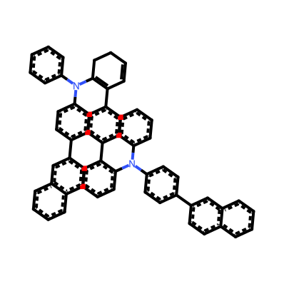 C1=CC(c2ccc(-c3ccccc3N(c3ccccc3)c3ccc(-c4ccc5ccccc5c4)cc3)cc2)=C(N(c2ccccc2)c2ccc(-c3ccc4ccccc4c3)cc2)CC1